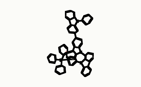 c1ccc(-n2c3ccccc3c3ccc(-c4ccc5c(c4)c4ccccc4n5-c4cccc5c6ccccc6n(-c6ccc([Si](c7ccccc7)(c7ccccc7)c7ccccc7)cc6)c45)cc32)cc1